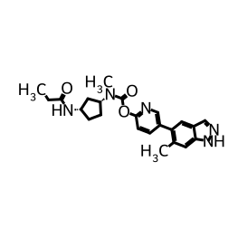 CCC(=O)N[C@H]1CC[C@@H](N(C)C(=O)Oc2ccc(-c3cc4cn[nH]c4cc3C)cn2)C1